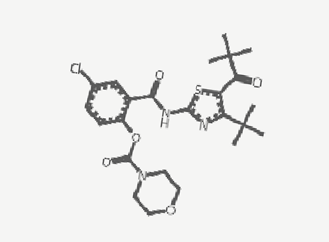 CC(C)(C)C(=O)c1sc(NC(=O)c2cc(Cl)ccc2OC(=O)N2CCOCC2)nc1C(C)(C)C